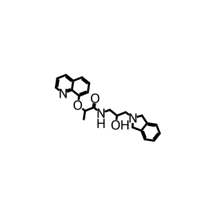 CC(Oc1cccc2cccnc12)C(=O)NCC(O)CN1Cc2ccccc2C1